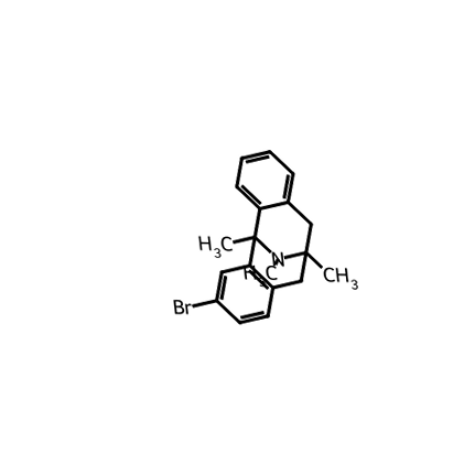 CN1C2(C)Cc3ccccc3C1(C)c1cc(Br)ccc1C2